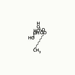 CCCCCCCCCCCC(=O)OC(=O)C(O)CO.OCCO